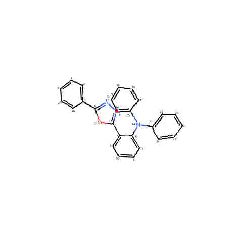 c1ccc(-c2nnc(-c3ccccc3N(c3ccccc3)c3ccccc3)o2)cc1